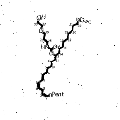 CCCCC/C=C\C/C=C\CCCCCCCC(CCCCCCCCCCCCCCCCCCC)OC(=O)NCCCOCCO